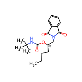 CCCC[C@H](CN1C(=O)c2ccccc2C1=O)OC(=O)NC(C)(C)C